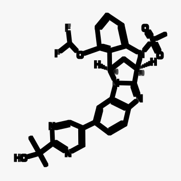 CC(C)(O)c1ncc(-c2ccc3nc4n(c3c2)[C@@H]2C[C@H]4N(S(C)(=O)=O)c3cccc(OC(F)F)c32)cn1